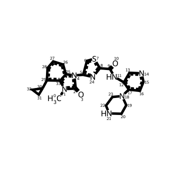 Cn1c(=O)n(-c2csc(C(=O)Nc3cnccc3N3CCNCC3)n2)c2cccc(C3CC3)c21